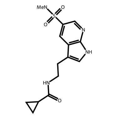 CNS(=O)(=O)c1cnc2[nH]cc(CCNC(=O)C3CC3)c2c1